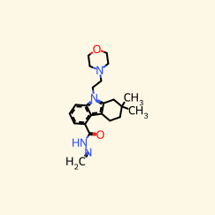 C=NNC(=O)c1cccc2c1c1c(n2CCN2CCOCC2)CC(C)(C)CC1